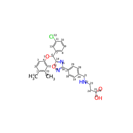 Cc1ccc(OC(c2cccc(Cl)c2)c2nc(-c3ccc(CNCCC(=O)O)cc3)no2)cc1C